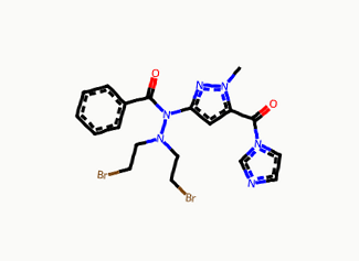 Cn1nc(N(C(=O)c2ccccc2)N(CCBr)CCBr)cc1C(=O)n1ccnc1